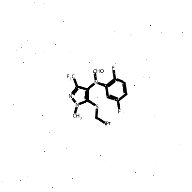 CC(C)CSc1c(N(C=O)c2cc(F)ccc2F)c(C(F)(F)F)nn1C